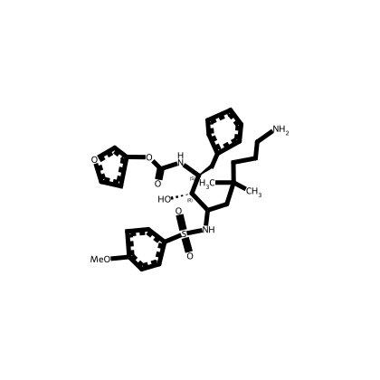 COc1ccc(S(=O)(=O)NC(CC(C)(C)CCCN)[C@H](O)[C@H](Cc2ccccc2)NC(=O)Oc2ccoc2)cc1